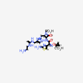 C=C(NCCN)NCc1cnn(CC2C(NC(=O)/C(=N\OC3(C(=O)O)CC3)c3csc(N)n3)C(=O)N2S(=O)(=O)O)n1